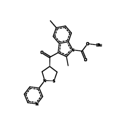 Cc1ccc2c(c1)c(C(=O)C1CSN(c3cccnc3)C1)c(C)n2C(=O)OC(C)(C)C